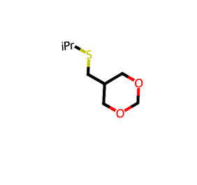 CC(C)SCC1COCOC1